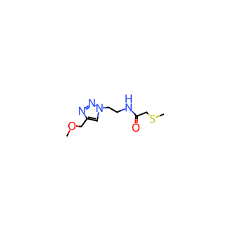 COCc1cn(CCNC(=O)CSC)nn1